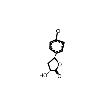 O=C1O[C@@H](c2ccc(Cl)cc2)C[C@H]1O